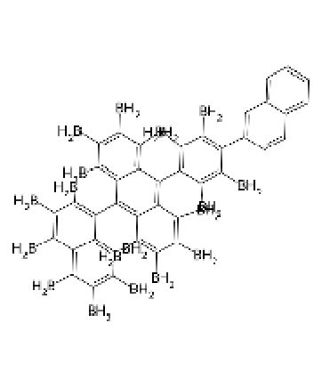 Bc1c(B)c(-c2c3c(B)c(B)c(B)c(B)c3c(-c3c(B)c(B)c(B)c4c(B)c(B)c(B)c(B)c34)c3c(B)c(B)c(B)c(B)c23)c(B)c(B)c1-c1ccc2ccccc2c1